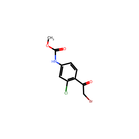 COC(=O)Nc1ccc(C(=O)CBr)c(Cl)c1